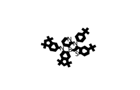 CC(C)(C)c1ccc(N2c3nccc4c3B(c3cc5c(cc3N4c3ccc4c(c3)C(C)(C)CC4(C)C)C(C)(C)CC5(C)C)c3sc4ccc(C(C)(C)C)cc4c32)cc1